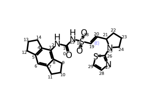 O=C(Nc1c2c(cc3c1CCC3)CCC2)NS(=O)(=O)/C=C/C1CCCN1c1nccs1